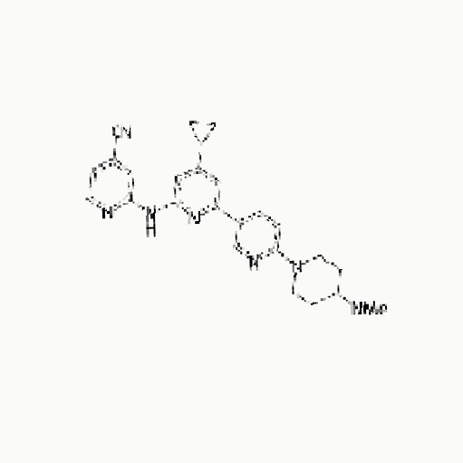 CNC1CCN(c2ccc(-c3cc(C4CC4)cc(Nc4cc(C#N)ccn4)n3)cn2)CC1